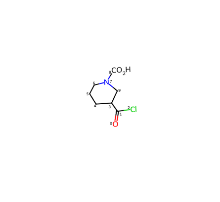 O=C(Cl)C1CCCN(C(=O)O)C1